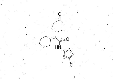 O=C1CCC(N(C(=O)Nc2ncc(Cl)s2)C2CCCCC2)CC1